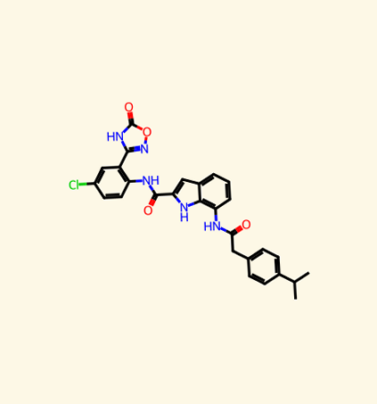 CC(C)c1ccc(CC(=O)Nc2cccc3cc(C(=O)Nc4ccc(Cl)cc4-c4noc(=O)[nH]4)[nH]c23)cc1